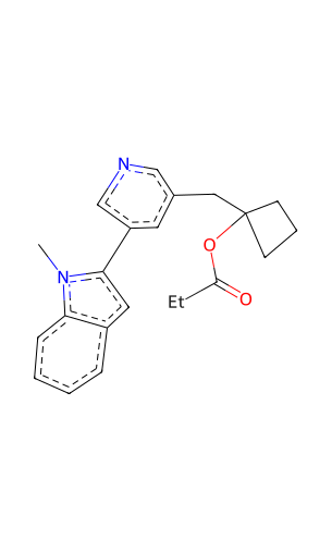 CCC(=O)OC1(Cc2cncc(-c3cc4ccccc4n3C)c2)CCC1